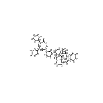 CC1CC/C(c2cccc(-c3cccc4c3Oc3ccccc3C43c4ccccc4-n4c5ccccc5c5cccc3c54)c2)=N\C(c2ccccc2)=N/C1c1ccccc1